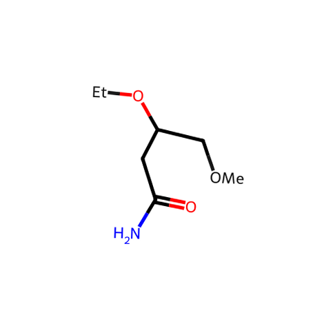 CCOC(COC)CC(N)=O